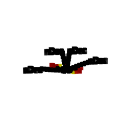 CCCCCCCCCCCCCCCCCCCCc1cc(-c2ccc3c(c2)[Si](CCCCCCCCCCCCCCCCCCCC)(CCCCCCCCCCCCCCCCCCCC)c2cc(-c4cc(CCCCCCCCCCCCCCCCCCCC)c(Br)s4)ccc2-3)sc1Br